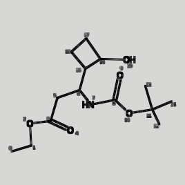 CCOC(=O)CC(NC(=O)OC(C)(C)C)C1CCC1O